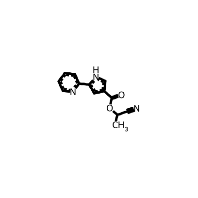 CC(C#N)OC(=O)c1c[nH]c(-c2ccccn2)c1